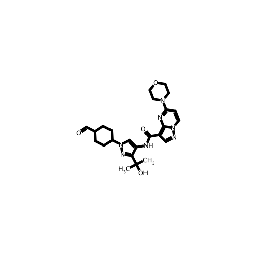 CC(C)(O)c1nn(C2CCC(C=O)CC2)cc1NC(=O)c1cnn2ccc(N3CCOCC3)nc12